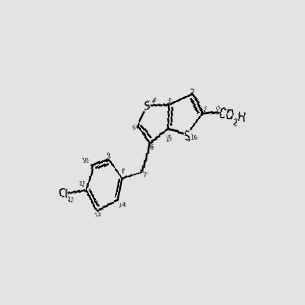 O=C(O)c1cc2scc(Cc3ccc(Cl)cc3)c2s1